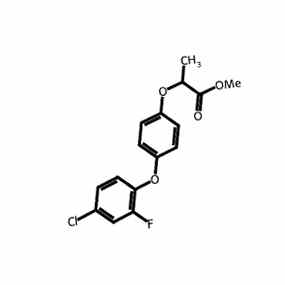 COC(=O)C(C)Oc1ccc(Oc2ccc(Cl)cc2F)cc1